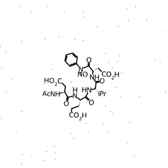 CC(=O)N[C@@H](CC(=O)O)C(=O)N[C@@H](CCC(=O)O)C(=O)N[C@H](C(=O)N[C@@H](CC(=O)O)C(=O)N([N+]=O)c1ccccc1)C(C)C